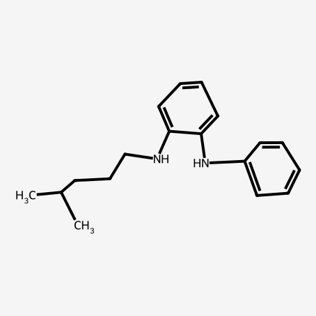 CC(C)CCCNc1ccccc1Nc1ccccc1